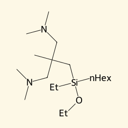 CCCCCC[Si](CC)(CC(C)(CN(C)C)CN(C)C)OCC